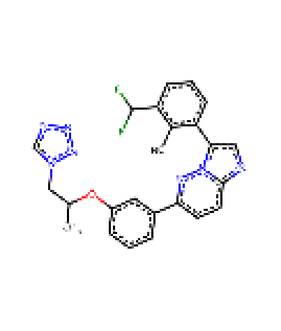 CC(Cn1cnnn1)Oc1cccc(-c2ccc3ncc(-c4cccc(C(F)F)c4C#N)n3n2)c1